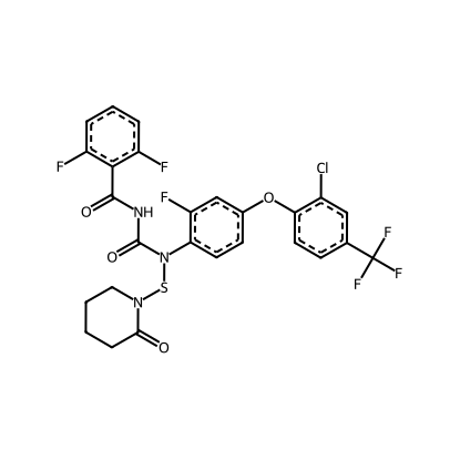 O=C(NC(=O)N(SN1CCCCC1=O)c1ccc(Oc2ccc(C(F)(F)F)cc2Cl)cc1F)c1c(F)cccc1F